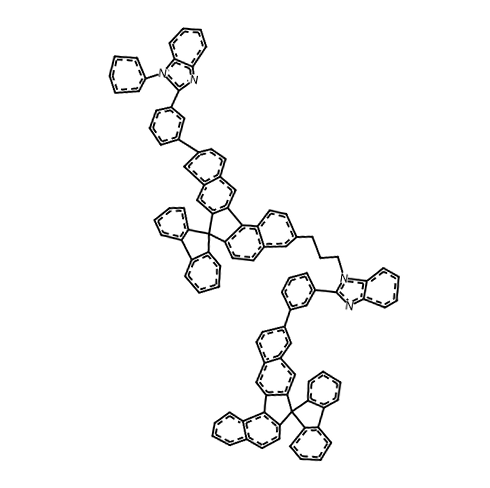 c1ccc(-n2c(-c3cccc(-c4ccc5cc6c(cc5c4)C4(c5ccccc5-c5ccccc54)c4ccc5cc(CCCn7c(-c8cccc(-c9ccc%10cc%11c(cc%10c9)C9(c%10ccccc%10-c%10ccccc%109)c9ccc%10ccccc%10c9-%11)c8)nc8ccccc87)ccc5c4-6)c3)nc3ccccc32)cc1